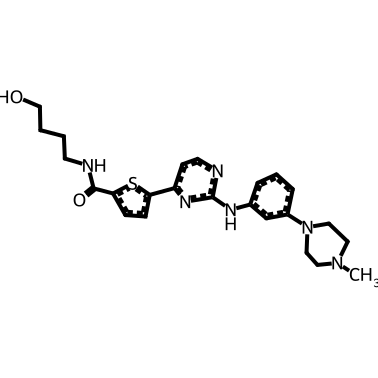 CN1CCN(c2cccc(Nc3nccc(-c4ccc(C(=O)NCCCCO)s4)n3)c2)CC1